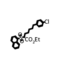 CCOC(=O)C(CCCCCc1ccc(Cl)cc1)S(=O)(=O)c1cccc2ccccc12